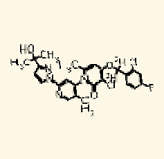 [2H]C([2H])(Oc1cc(C)n(-c2cc(-n3ccc(C(C)(C)O)n3)ncc2C)c(=O)c1Cl)c1ccc(F)cc1Cl